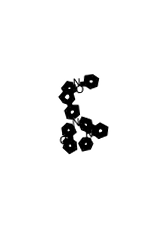 C1=C(c2ccc(N(c3ccc4oc5ccccc5c4c3)c3ccc4c5ccccc5n(-c5ccccc5)c4c3)cc2)CCc2ccc3nc(-c4ccccc4)oc3c21